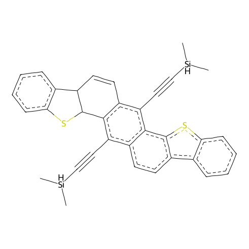 C[SiH](C)C#Cc1c2c(c(C#C[SiH](C)C)c3c1ccc1c4ccccc4sc13)C=CC1c3ccccc3SC21